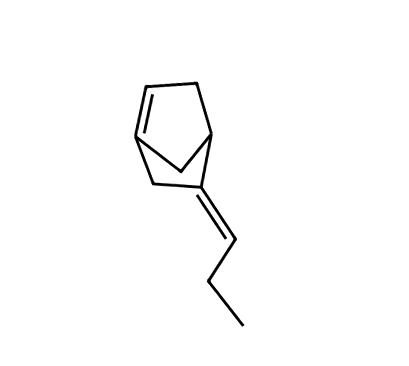 CCC=C1CC2=CCC1C2